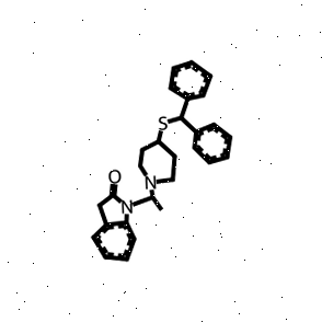 CC(N1CCC(SC(c2ccccc2)c2ccccc2)CC1)N1C(=O)Cc2ccccc21